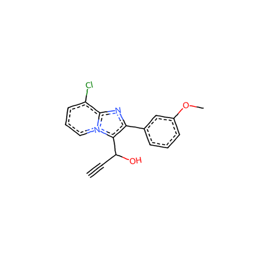 C#CC(O)c1c(-c2cccc(OC)c2)nc2c(Cl)cccn12